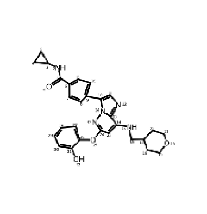 O=C(NC1CC1)c1ccc(-c2cnc3c(NCC4CCOCC4)cc(Oc4ccccc4O)nn23)cc1